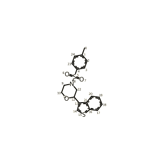 Cc1ccc(S(=O)(=O)N2CCOC(c3csc4ccccc34)C2)cc1